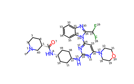 CN1CCC[C@H](C(=O)N[C@H]2CC[C@H](Nc3nc(N4CCOCC4)cc(-n4c(C(F)F)nc5ccccc54)n3)CC2)C1